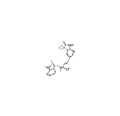 Cc1c(CN(C)C(=O)C=Cc2cnc3c(c2)C2(CCC2)C(=O)N3)c2ccccc2n1C